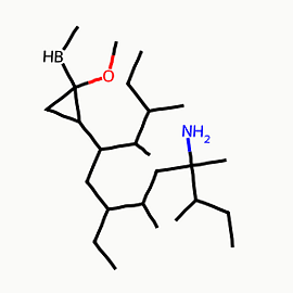 CBC1(OC)CC1C(CC(CC)C(C)CC(C)(N)C(C)CC)C(C)C(C)CC